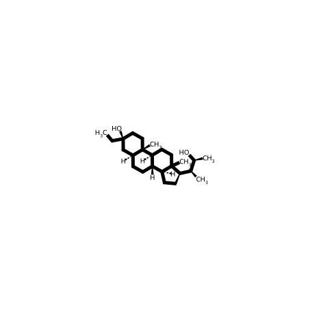 CC[C@]1(O)CC[C@@]2(C)[C@@H](CC[C@H]3[C@@H]4CC[C@H]([C@H](C)[C@H](C)O)C4(C)CC[C@@H]32)C1